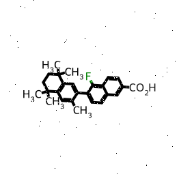 Cc1cc2c(cc1-c1ccc3cc(C(=O)O)ccc3c1F)C(C)(C)CCC2(C)C